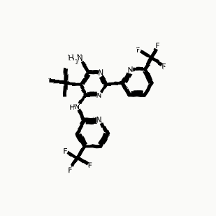 CC(C)(C)c1c(N)nc(-c2cccc(C(F)(F)F)n2)nc1Nc1cc(C(F)(F)F)ccn1